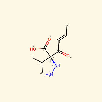 CC=CC(=O)[C@@](NN)(C(=O)O)C(C)C